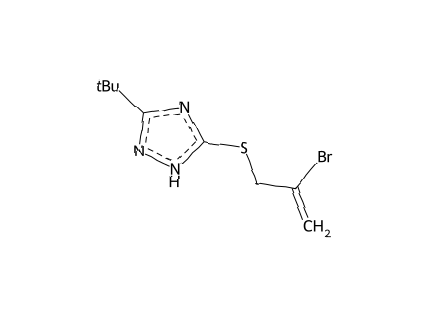 C=C(Br)CSc1nc(C(C)(C)C)n[nH]1